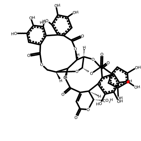 O=C1C=C2C(=O)O[C@H]3[C@@H]4OC(=O)c5cc(O)c(O)c(O)c5-c5c(cc(O)c(O)c5O)C(=O)OC[C@H]3O[C@@H](OC(=O)c3cc(O)c(O)c(O)c3)[C@@H]4OC(=O)c3cc(O)c(O)c(O)c3[C@H]2[C@H](C(=O)O)O1